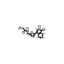 CC(C)CC(=O)NCc1ccc(-c2c[nH]c(=O)c3c2CCCC3)o1